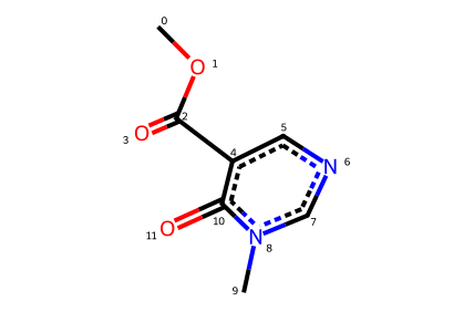 COC(=O)c1cncn(C)c1=O